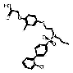 CCCN(CCSc1ccc(OCC(=O)O)c(C)c1)S(=O)(=O)c1ccc(-c2ccccc2Cl)cc1